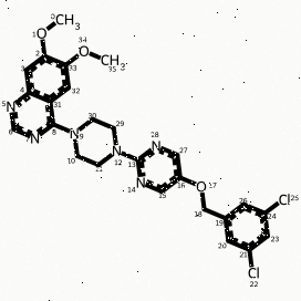 COc1cc2ncnc(N3CCN(c4ncc(OCc5cc(Cl)cc(Cl)c5)cn4)CC3)c2cc1OC